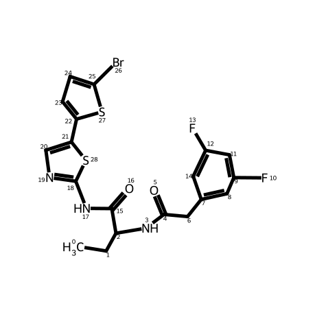 CCC(NC(=O)Cc1cc(F)cc(F)c1)C(=O)Nc1ncc(-c2ccc(Br)s2)s1